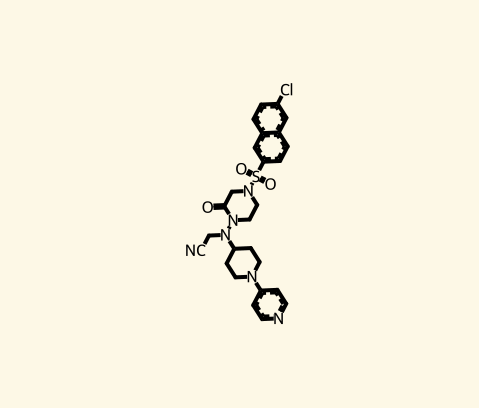 N#CCN(C1CCN(c2ccncc2)CC1)N1CCN(S(=O)(=O)c2ccc3cc(Cl)ccc3c2)CC1=O